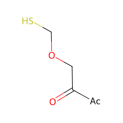 CC(=O)C(=O)COCS